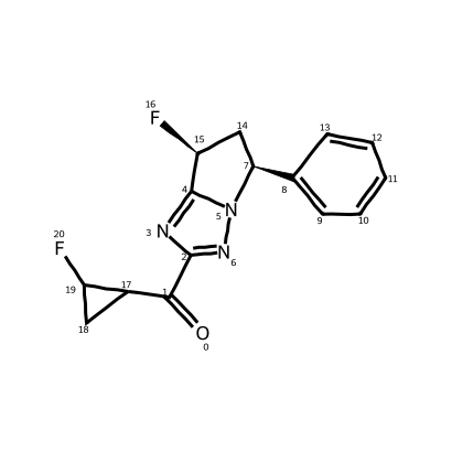 O=C(c1nc2n(n1)[C@H](c1ccccc1)C[C@@H]2F)C1CC1F